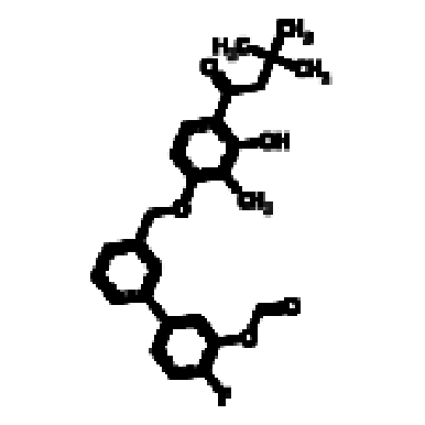 Cc1c(OCc2cccc(-c3ccc(F)c(OC=O)c3)c2)ccc(C(=O)CC(C)(C)C)c1O